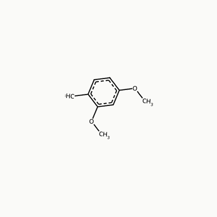 [CH]c1ccc(OC)cc1OC